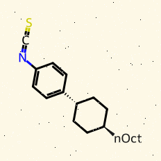 CCCCCCCC[C@H]1CC[C@H](c2ccc(N=C=S)cc2)CC1